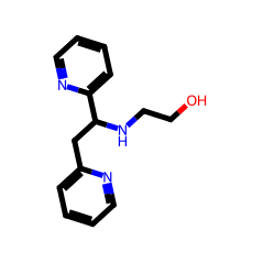 OCCNC(Cc1ccccn1)c1ccccn1